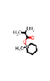 C=C(C)C(=O)O[Si]1(C)CCCCC1